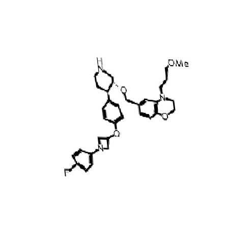 COCCCN1CCOc2ccc(CO[C@H]3CNCC[C@@H]3c3ccc(OC4CN(c5ccc(F)cc5)C4)cc3)cc21